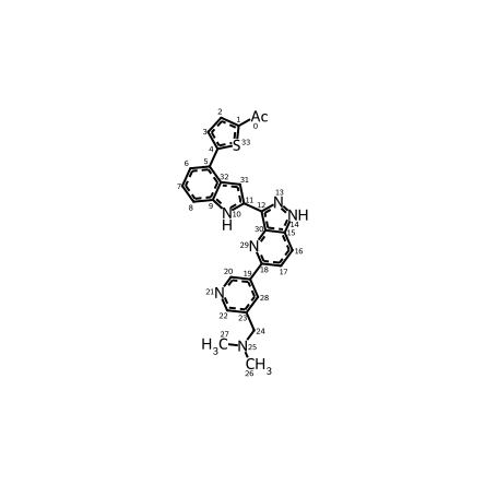 CC(=O)c1ccc(-c2cccc3[nH]c(-c4n[nH]c5ccc(-c6cncc(CN(C)C)c6)nc45)cc23)s1